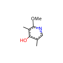 COc1ncc(C)c(O)c1C